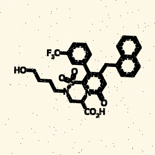 O=C(O)C1CN(CCCCO)S(=O)(=O)c2c(-c3cccc(C(F)(F)F)c3)c(Cc3cccc4ccccc34)cc(=O)n21